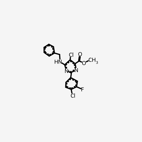 COC(=O)c1nc(-c2ccc(Cl)c(F)c2)nc(NCc2ccccc2)c1Cl